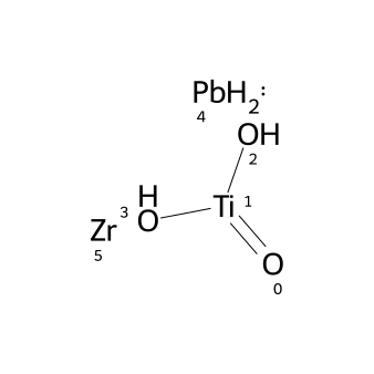 [O]=[Ti]([OH])[OH].[PbH2].[Zr]